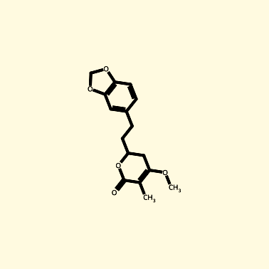 COC1=C(C)C(=O)OC(CCc2ccc3c(c2)OCO3)C1